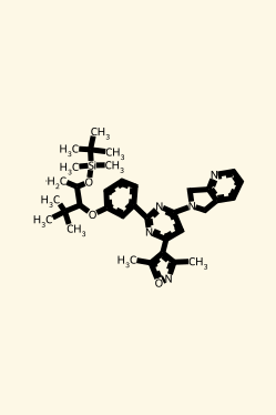 [CH2]C(O[Si](C)(C)C(C)(C)C)C(Oc1cccc(-c2nc(-c3c(C)noc3C)cc(N3Cc4cccnc4C3)n2)c1)C(C)(C)C